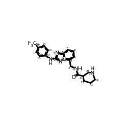 O=C(NCc1cccc2nc(Nc3ccc(C(F)(F)F)cc3)nn12)C1CCCNC1